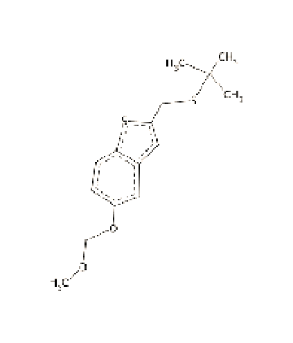 COCOc1ccc2sc(CSC(C)(C)C)cc2c1